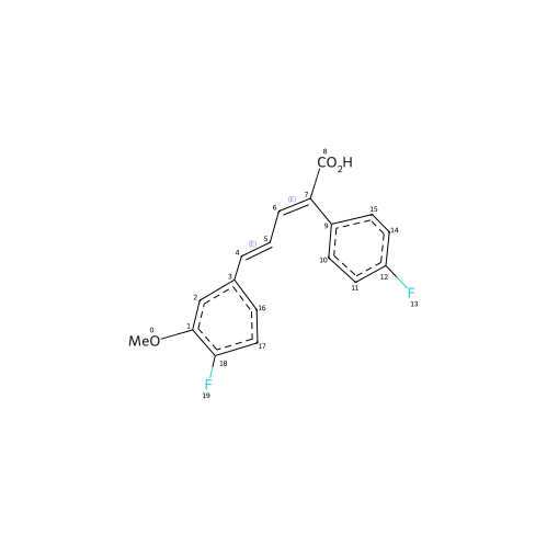 COc1cc(/C=C/C=C(/C(=O)O)c2ccc(F)cc2)ccc1F